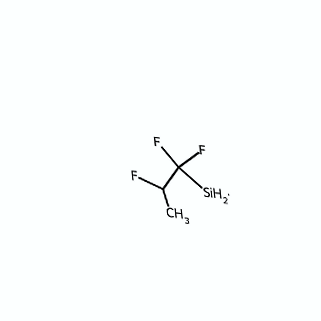 CC(F)C(F)(F)[SiH2]